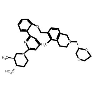 Cc1c(COc2ccccc2-c2cccc(N3CC[C@H](C(=O)O)[C@@H](C)C3)n2)ccc2c1CCN(C[C@H]1COCCO1)C2